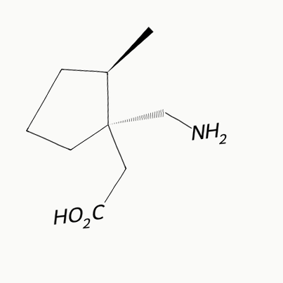 C[C@@H]1CCC[C@]1(CN)CC(=O)O